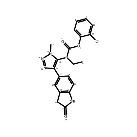 CCN(C(=O)Oc1ccccc1Cl)c1c(-c2ccc3c(c2)CC(=O)N3)nnn1C